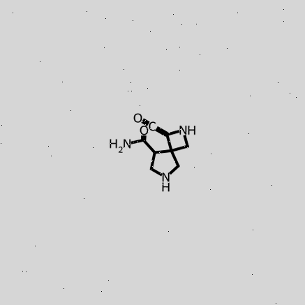 NC(=O)C1CNCC12CNC2=C=O